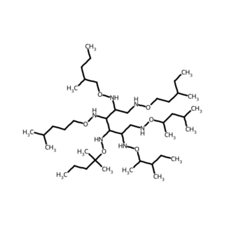 CCCC(C)CON[C](CNOCCC(C)CC)C(NOCCCC(C)C)C(NOC(C)(C)CCC)C(CNOC(C)CC(C)C)NOC(C)C(C)CC